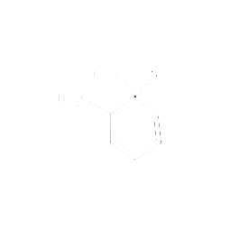 NC1(C(=O)O)C=CC=CC1C(=O)O